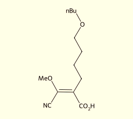 CCCCOCCCCC(C(=O)O)=C(C#N)OC